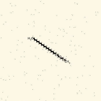 CCCCCCCCCCCCCCCCCCCCO[CH]COCCOCC